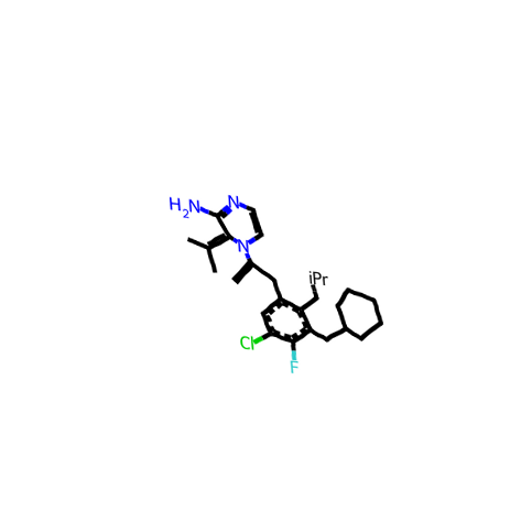 C=C(Cc1cc(Cl)c(F)c(CC2CCCCC2)c1CC(C)C)N1C=CN=C(N)C1=C(C)C